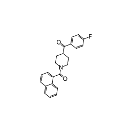 O=C(c1ccc(F)cc1)C1CCN(C(=O)c2cccc3ccccc23)CC1